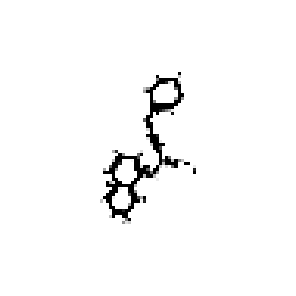 CN(C#CCC1=CCCCC1)Cc1cccc2ccccc12